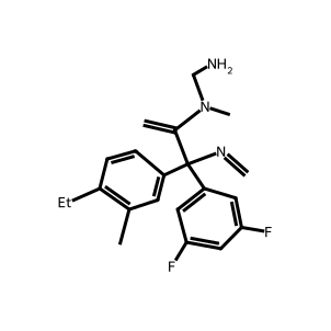 C=NC(C(=C)N(C)CN)(c1cc(F)cc(F)c1)c1ccc(CC)c(C)c1